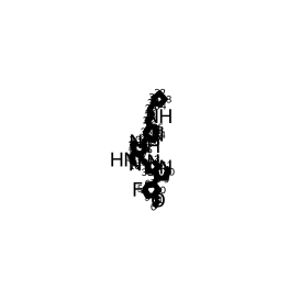 COc1cc(F)cc(-c2ccnc3[nH]c(-c4n[nH]c5cnc(-c6cncc(CNCC7CCCC7)c6)cc45)cc23)c1